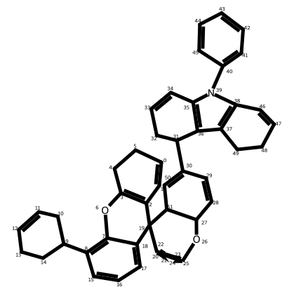 C1=CC2=C(CC1)Oc1c(C3CC=CCC3)cccc1C21C2=CCCC=C2OC2C=CC(C3CC=Cc4c3c3c(n4-c4ccccc4)C=CCC3)=CC21